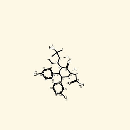 CC[C@@H]([C@@H](C)C(C)(C)O)N1C(=O)[C@@](C)(CC(=O)O)CC(c2cccc(Cl)c2)C1c1ccc(Cl)cc1